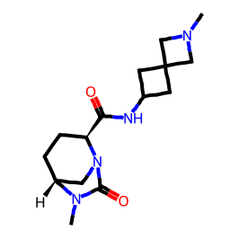 CN1CC2(CC(NC(=O)[C@@H]3CC[C@@H]4CN3C(=O)N4C)C2)C1